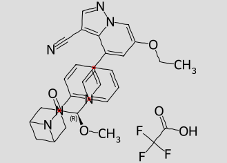 CCOc1cc(-c2ccc(N3CC4CC(C3)N4C(=O)[C@H](OC)c3ccccc3)nc2)c2c(C#N)cnn2c1.O=C(O)C(F)(F)F